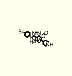 O=COC(CC1CCNCC1)c1ncnc(Nc2ccc(Br)cc2)c1[N+](=O)[O-]